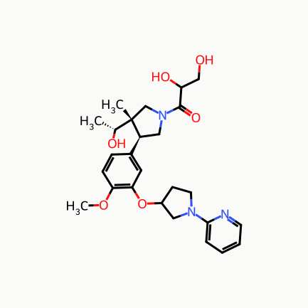 COc1ccc([C@@H]2CN(C(=O)C(O)CO)C[C@@]2(C)[C@@H](C)O)cc1OC1CCN(c2ccccn2)C1